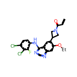 C=CC(=O)N1CC(c2cc3c(Nc4ccc(Cl)c(Cl)c4F)ncnc3cc2OCC)C1